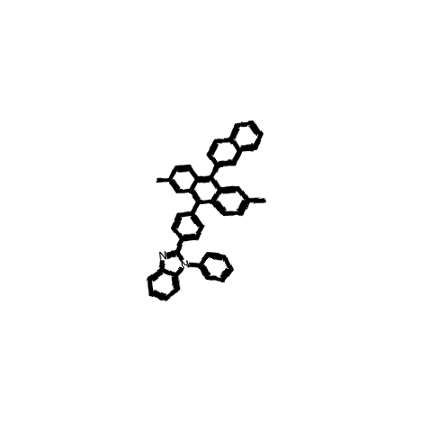 Cc1ccc2c(-c3ccc4ccccc4c3)c3cc(C)ccc3c(-c3ccc(-c4nc5ccccc5n4-c4ccccc4)cc3)c2c1